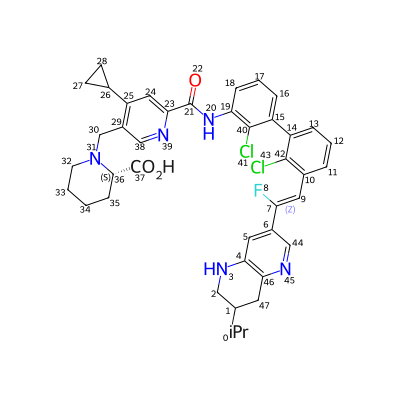 CC(C)C1CNc2cc(/C(F)=C/c3cccc(-c4cccc(NC(=O)c5cc(C6CC6)c(CN6CCCC[C@H]6C(=O)O)cn5)c4Cl)c3Cl)cnc2C1